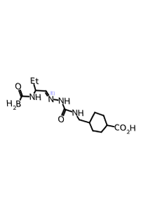 BC(=O)NC(/C=N/NC(=O)NCC1CCC(C(=O)O)CC1)CC